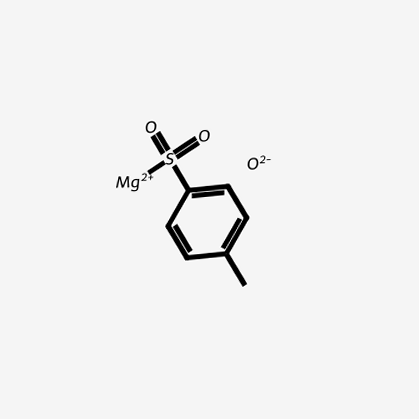 Cc1ccc([S](=O)(=O)[Mg+2])cc1.[O-2]